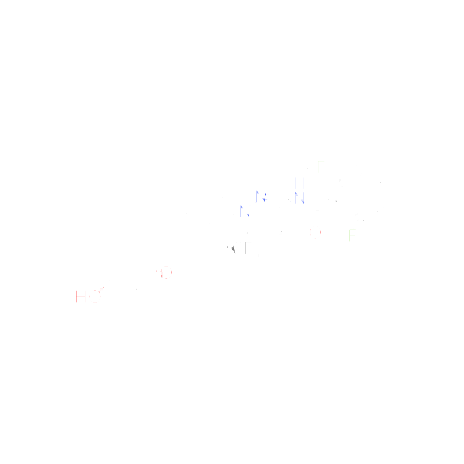 O=C(Nc1ccn(Cc2ccc(OCCCO)cc2C(F)(F)F)n1)C1C(F)=CC=CC1F